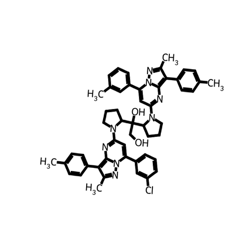 Cc1ccc(-c2c(C)nn3c(-c4cccc(C)c4)cc(N4CCCC4C(O)(CO)C4CCCN4c4cc(-c5cccc(Cl)c5)n5nc(C)c(-c6ccc(C)cc6)c5n4)nc23)cc1